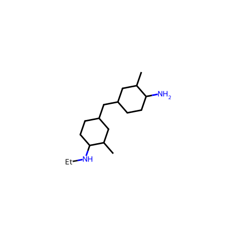 CCNC1CCC(CC2CCC(N)C(C)C2)CC1C